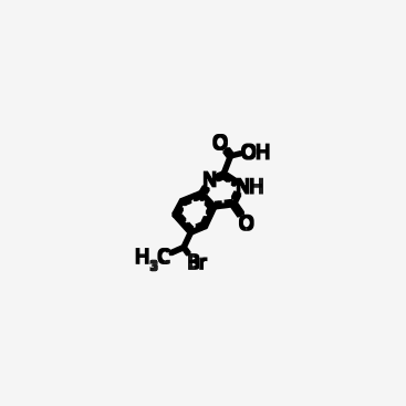 CC(Br)c1ccc2nc(C(=O)O)[nH]c(=O)c2c1